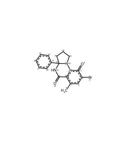 Cc1cc(Br)c(=O)n2c1C(=O)NC1(c3ccccc3)CCCN21